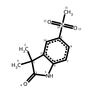 CC1(C)C(=O)Nc2ccc(S(C)(=O)=O)cc21